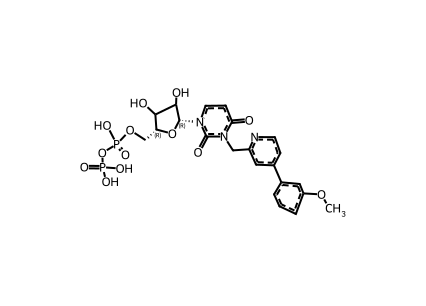 COc1cccc(-c2ccnc(Cn3c(=O)ccn([C@@H]4O[C@H](COP(=O)(O)OP(=O)(O)O)C(O)C4O)c3=O)c2)c1